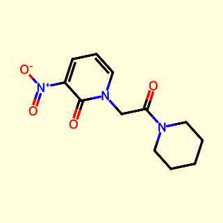 O=C(Cn1cccc([N+](=O)[O-])c1=O)N1CCCCC1